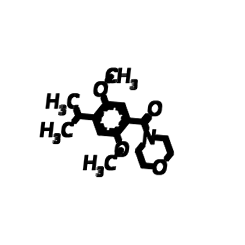 COc1cc(C(C)C)c(OC)cc1C(=O)N1CCOCC1